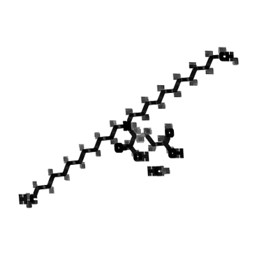 CCCCCCCCCCCCN(CCCCCCCCCCCC)[C@H](CCC(=O)O)C(=O)O.Cl